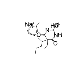 CCCC(C)C1(CC)C(=O)N=C([O-])NC1=O.Cc1ccccn1.Cl.[Na+]